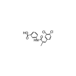 CC(=Cc1ccc(Cl)c(Cl)c1)C(=O)Nc1cccc(C(=O)O)c1